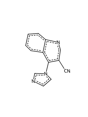 N#Cc1cnc2ccccc2c1-n1ccnc1